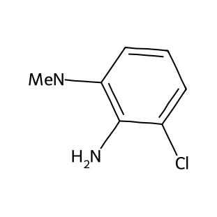 CNc1cccc(Cl)c1N